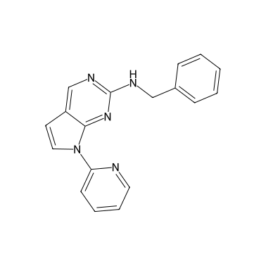 c1ccc(CNc2ncc3ccn(-c4ccccn4)c3n2)cc1